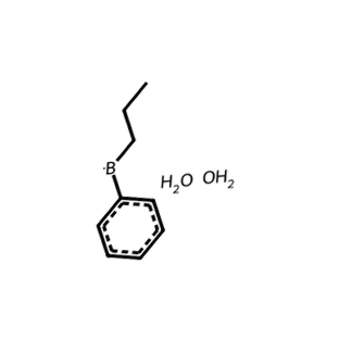 CCC[B]c1ccccc1.O.O